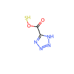 O=C(OS)c1nnn[nH]1